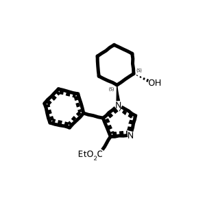 CCOC(=O)c1ncn([C@H]2CCCC[C@@H]2O)c1-c1ccccc1